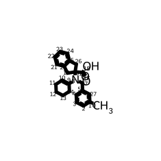 Cc1cccc(C(=O)N(C2=CCCCC2)C2(C(=O)O)Cc3ccccc3C2)c1